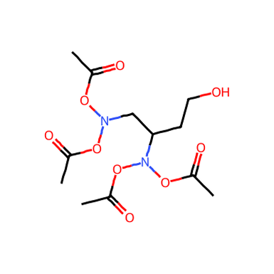 CC(=O)ON(CC(CCO)N(OC(C)=O)OC(C)=O)OC(C)=O